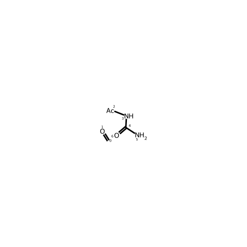 C=O.CC(=O)NC(N)=O